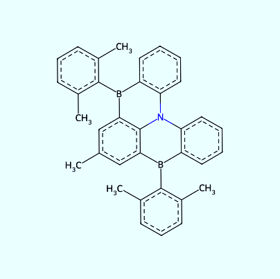 Cc1cc2c3c(c1)B(c1c(C)cccc1C)c1ccccc1N3c1ccccc1B2c1c(C)cccc1C